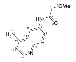 COCC(=O)Nc1ccc2ncnc(N)c2c1